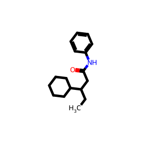 CCC(CC(=O)Nc1ccccc1)C1CCCCC1